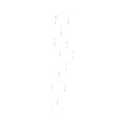 O=C(CN1CCc2cc(-c3cc(F)cc(F)c3)ccc2C1)N1CCN(C2CCC2)CC1